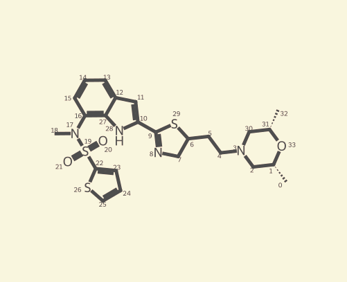 C[C@@H]1CN(CCC2CN=C(c3cc4cccc(N(C)S(=O)(=O)c5cccs5)c4[nH]3)S2)C[C@H](C)O1